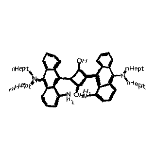 CCCCCCCN(CCCCCCC)c1c2ccccc2c(C2C(O)C(c3c4ccccc4c(N(CCCCCCC)CCCCCCC)c4cccc(N)c34)C2O)c2c(N)cccc12